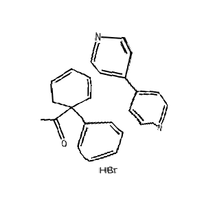 Br.CC(=O)C1(c2ccccc2)C=CC=CC1.c1cc(-c2ccncc2)ccn1